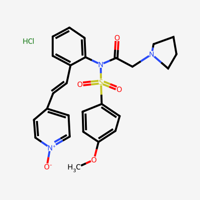 COc1ccc(S(=O)(=O)N(C(=O)CN2CCCC2)c2ccccc2C=Cc2cc[n+]([O-])cc2)cc1.Cl